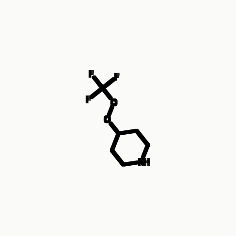 FC(F)(F)OOC1CCNCC1